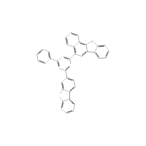 c1ccc(-c2nc(-c3ccc4c(c3)oc3ccccc34)nc(-c3cc4c(c5ccccc35)Cc3ccccc3-4)n2)cc1